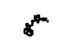 Nc1nnc(SCC(=O)C23CC4CC(CC(C4)C2)C3)s1